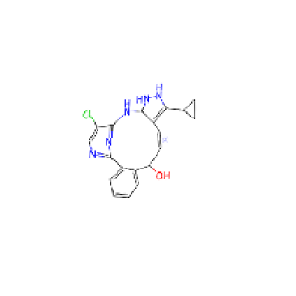 OC1/C=C\C2=C(C3CC3)NNC2Nc2nc(ncc2Cl)-c2ccccc21